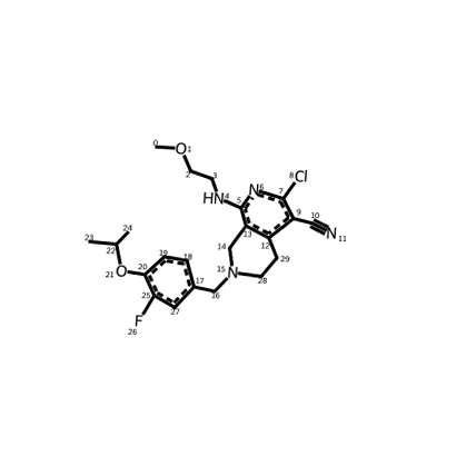 COCCNc1nc(Cl)c(C#N)c2c1CN(Cc1ccc(OC(C)C)c(F)c1)CC2